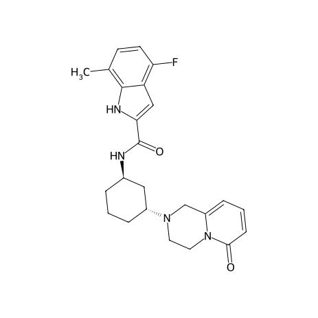 Cc1ccc(F)c2cc(C(=O)N[C@@H]3CCC[C@@H](N4CCn5c(cccc5=O)C4)C3)[nH]c12